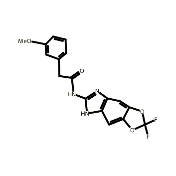 COc1cccc(CC(=O)Nc2nc3cc4c(cc3[nH]2)OC(F)(F)O4)c1